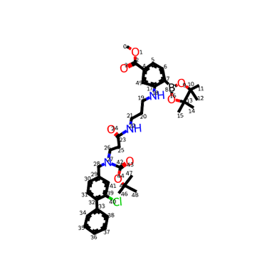 COC(=O)c1ccc(B2OC(C)(C)C(C)(C)O2)c(NCCCNC(=O)CCN(Cc2ccc(-c3ccccc3)c(Cl)c2)C(=O)OC(C)(C)C)c1